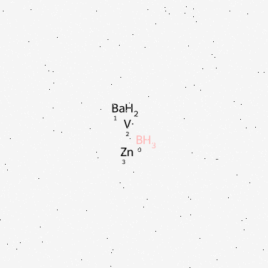 B.[BaH2].[V].[Zn]